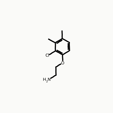 Cc1ccc(OCCN)c(Cl)c1C